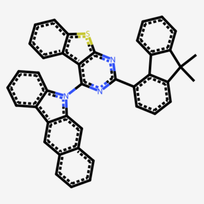 CC1(C)c2ccccc2-c2c(-c3nc(-n4c5ccccc5c5cc6ccccc6cc54)c4c(n3)sc3ccccc34)cccc21